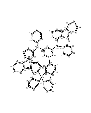 c1ccc(N(c2ccccc2)c2cc(-c3ccc4c(c3)C3(c5ccccc5-4)c4ccccc4-c4c3ccc3oc5ccccc5c43)cc(N(c3ccccc3)c3cccc4c3oc3ccccc34)c2)cc1